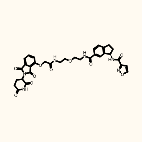 O=C(COc1cccc2c1C(=O)N(C1CCC(=O)NC1=O)C2=O)NCCOCCNC(=O)c1ccc2c(c1)[C@H](NC(=O)c1ccon1)CC2